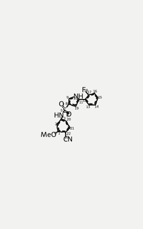 COc1cc(NS(=O)(=O)c2c[nH]c(-c3ccccc3F)c2)ccc1C#N